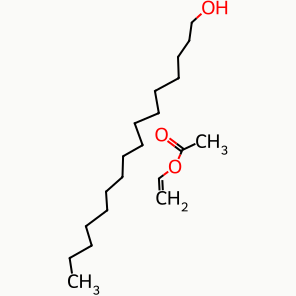 C=COC(C)=O.CCCCCCCCCCCCCCCCO